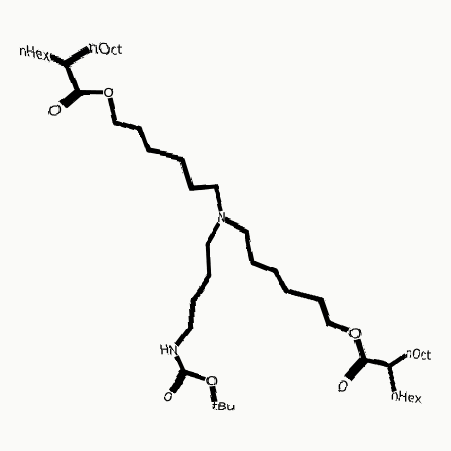 CCCCCCCCC(CCCCCC)C(=O)OCCCCCCN(CCCCCCOC(=O)C(CCCCCC)CCCCCCCC)CCCCNC(=O)OC(C)(C)C